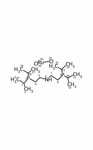 CC(C)P(CCNCCP(C(C)C)C(C)C)C(C)C.[Cl][Ru][Cl]